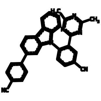 Cc1nc(C)nc(-c2cc(C#N)ccc2-n2c3ccccc3c3ccc(-c4ccc(C#N)cc4)cc32)n1